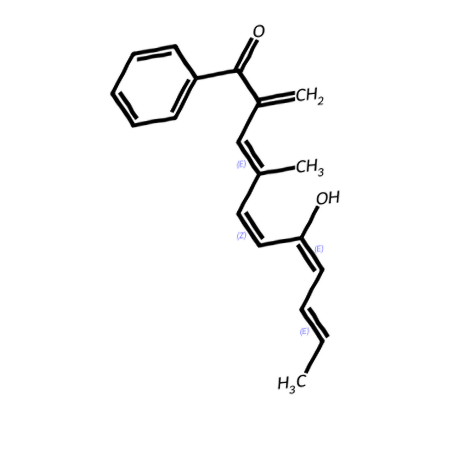 C=C(/C=C(C)/C=C\C(O)=C/C=C/C)C(=O)c1ccccc1